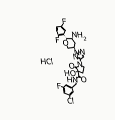 Cl.N[C@H]1C[C@@H](n2ncc(N3CC[C@](O)(C(=O)NCc4cc(F)cc(Cl)c4)C3=O)n2)CO[C@@H]1c1cc(F)ccc1F